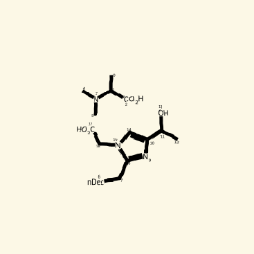 CC(C(=O)O)N(C)C.CCCCCCCCCCCc1nc(C(C)O)cn1CC(=O)O